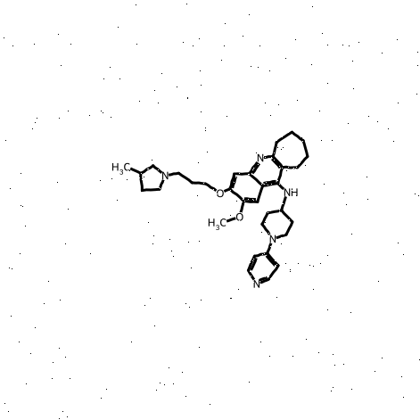 COc1cc2c(NC3CCN(c4ccncc4)CC3)c3c(nc2cc1OCCCN1CCC(C)C1)CCCCC3